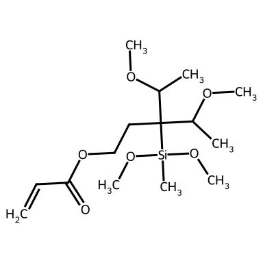 C=CC(=O)OCCC(C(C)OC)(C(C)OC)[Si](C)(OC)OC